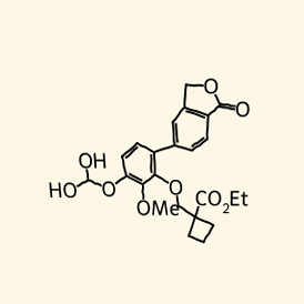 CCOC(=O)C1(COc2c(-c3ccc4c(c3)COC4=O)ccc(OC(O)O)c2OC)CCC1